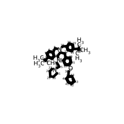 CC(C)(C)c1ccc(CN(Cc2ccc(C(C)(C)C)cc2)C(CNCCN2CCCCC2)Cc2ccc(OCc3ccccc3)cc2)cc1